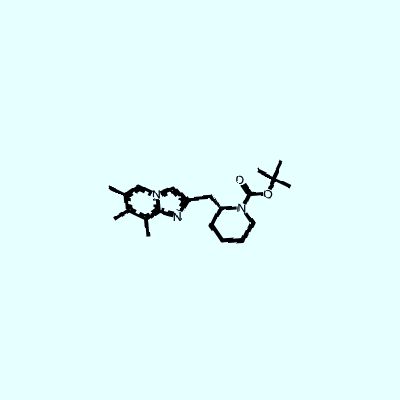 Cc1cn2cc(C[C@@H]3CCCCN3C(=O)OC(C)(C)C)nc2c(C)c1C